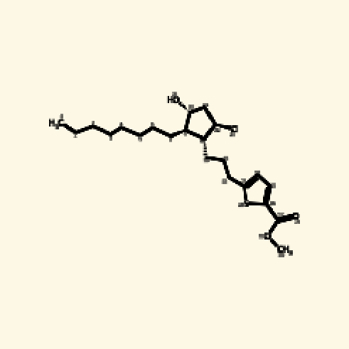 CCCCCCCC[C@@H]1[C@@H](CCCc2ccc(C(=O)OC)s2)[C@H](Cl)C[C@H]1O